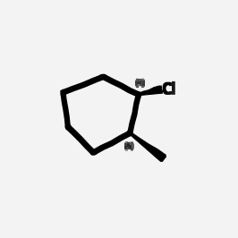 C[C@H]1CCCC[C@H]1Cl